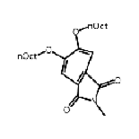 CCCCCCCCOc1cc2c(cc1OCCCCCCCC)C(=O)N(C)C2=O